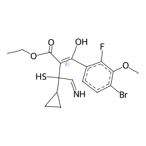 CCOC(=O)/C(=C(\O)c1ccc(Br)c(OC)c1F)C(S)(C=N)C1CC1